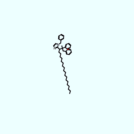 CCCCCCCCCCCCCCCCCCCC(c1nccn1Cc1ccccc1)C(C)(Cc1ccccc1)c1ccccc1